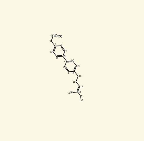 CCCCCCCCCCCc1ccc(-c2ccc(CCC=C(F)F)cc2)cc1